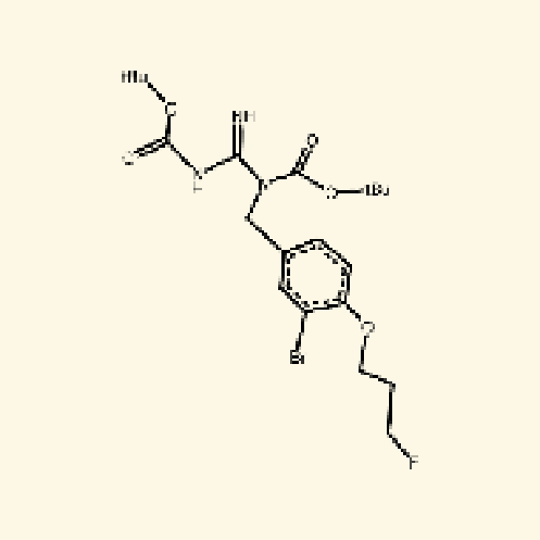 CC(C)(C)OC(=O)NC(=N)N(Cc1ccc(OCCCF)c(Br)c1)C(=O)OC(C)(C)C